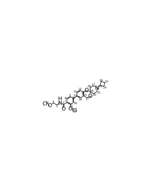 O=C(NCCOCl)c1ccc(-c2ccc3c(c2)COC2(CCN(C4CCC4)CC2)O3)cc1OCl